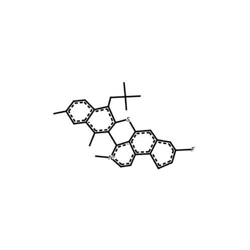 Cc1ccc2c(CC(C)(C)C)c3c(c(C)c2c1)-c1c2c(cc4cc(F)ccc4c2cc[n+]1C)S3